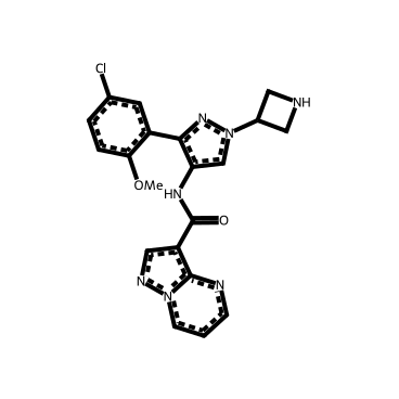 COc1ccc(Cl)cc1-c1nn(C2CNC2)cc1NC(=O)c1cnn2cccnc12